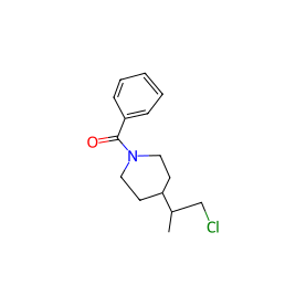 CC(CCl)C1CCN(C(=O)c2ccccc2)CC1